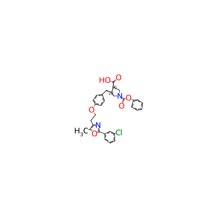 Cc1oc(-c2cccc(Cl)c2)nc1CCOc1ccc(C[C@@H]2CN(C(=O)Oc3ccccc3)C[C@@H]2C(=O)O)cc1